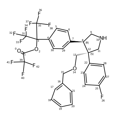 O=C(OC(c1ccc([C@H]2CNC[C@@]2(COCc2ccccc2)c2ccc(F)cc2)cc1)(C(F)(F)F)C(F)(F)F)C(F)(F)F